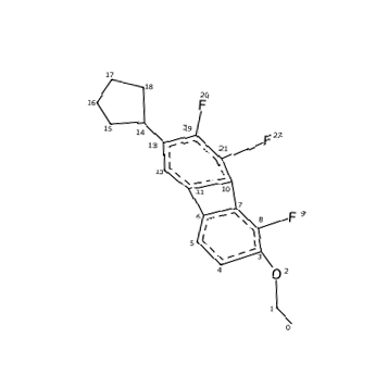 CCOc1ccc2c(c1F)-c1c-2cc(C2CCCC2)c(F)c1F